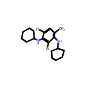 CCc1cc(C)c(NC2CCCCC2)c(CC)c1NC1CCCCC1